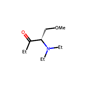 CCC(=O)[C@H](COC)N(CC)CC